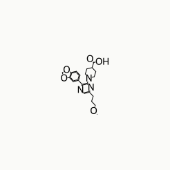 COCCCc1cnc(-c2ccc3c(c2)OCO3)c(N2CCC(C(=O)O)CC2)n1